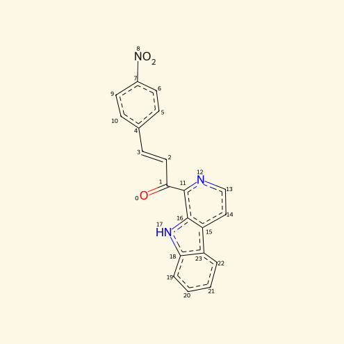 O=C(/C=C/c1ccc([N+](=O)[O-])cc1)c1nccc2c1[nH]c1ccccc12